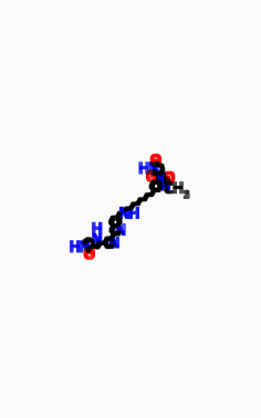 Cn1c(=O)n(C2CCC(=O)NC2=O)c2ccc(CCCCCCCCNCc3ccc4cc(-c5cc(-c6cc7c([nH]6)CCNC7=O)ccn5)cnc4c3)cc21